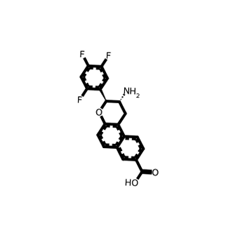 N[C@@H]1Cc2c(ccc3cc(C(=O)O)ccc23)O[C@H]1c1cc(F)c(F)cc1F